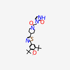 COc1c(C(C)(C)C)cc(-c2ncc(C3CCN(C(=O)Cn4cc[nH]c4=O)CC3)s2)cc1C(C)(C)C